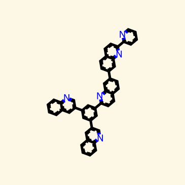 c1ccc(-c2ccc3ccc(-c4ccc5ccc(-c6cc(-c7cnc8ccccc8c7)cc(-c7cnc8ccccc8c7)c6)nc5c4)cc3n2)nc1